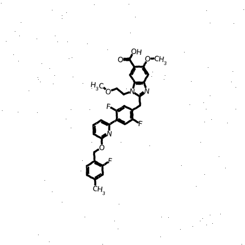 COCCn1c(Cc2cc(F)c(-c3cccc(OCc4ccc(C)cc4F)n3)cc2F)nc2cc(OC)c(C(=O)O)cc21